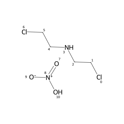 ClCCNCCCl.O=[N+]([O-])O